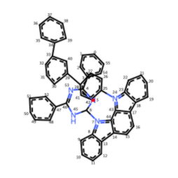 c1ccc(C2=NC(n3c4ccccc4c4ccc5c6ccccc6n(-c6ccc(-c7cccc(-c8ccccc8)c7)cc6)c5c43)NC(c3ccccc3)=N2)cc1